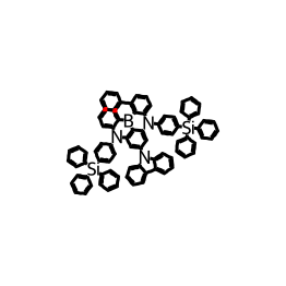 c1ccc(-c2cccc3c2B2c4ccccc4N(c4ccc([Si](c5ccccc5)(c5ccccc5)c5ccccc5)cc4)c4cc(-n5c6ccccc6c6ccccc65)cc(c42)N3c2ccc([Si](c3ccccc3)(c3ccccc3)c3ccccc3)cc2)cc1